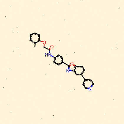 Cc1ccccc1OCC(=O)Nc1ccc(-c2nc3cc(-c4ccncc4)ccc3o2)cc1